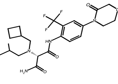 CC(C)CN(CC1CCC1)[C@@H](C(N)=O)C(=O)Nc1ccc(N2CCOCC2=O)cc1C(F)(F)F